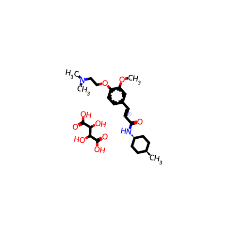 COc1cc(/C=C/C(=O)N[C@H]2CC[C@H](C)CC2)ccc1OCCN(C)C.O=C(O)C(O)C(O)C(=O)O